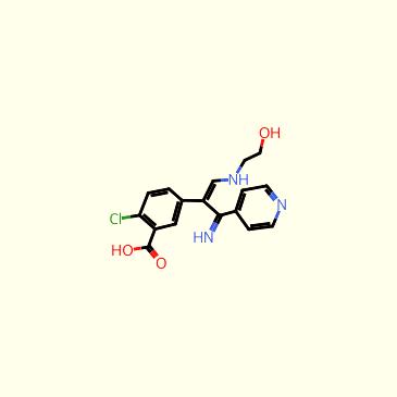 N=C(/C(=C\NCCO)c1ccc(Cl)c(C(=O)O)c1)c1ccncc1